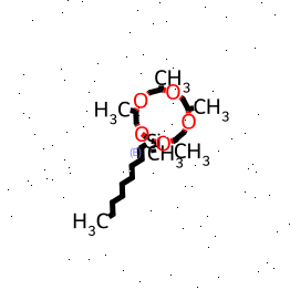 CCCCCCC/C=C/[Si]1(C)OCC(C)OCC(C)OCC(C)OCC(C)O1